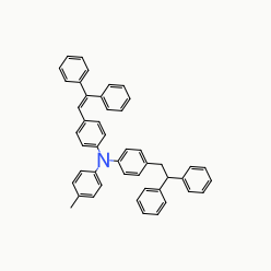 Cc1ccc(N(c2ccc(C=C(c3ccccc3)c3ccccc3)cc2)c2ccc(CC(c3ccccc3)c3ccccc3)cc2)cc1